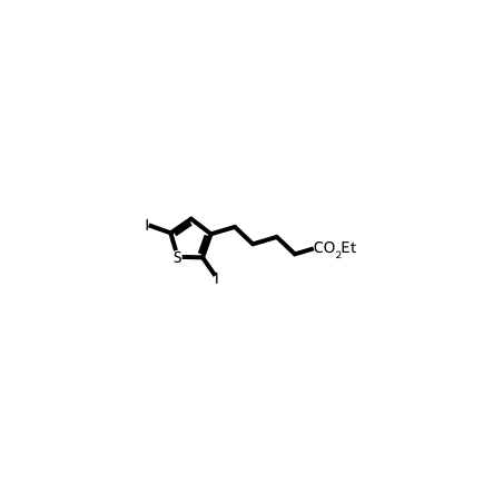 CCOC(=O)CCCCc1cc(I)sc1I